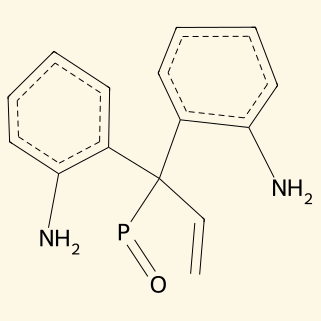 C=CC(P=O)(c1ccccc1N)c1ccccc1N